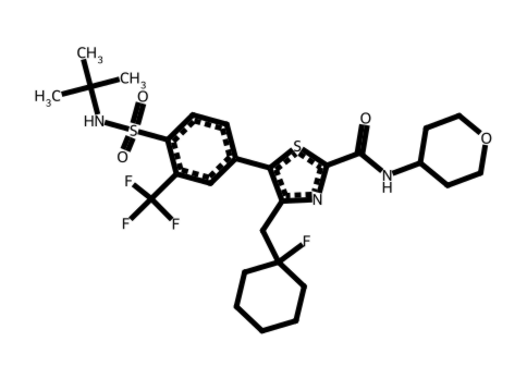 CC(C)(C)NS(=O)(=O)c1ccc(-c2sc(C(=O)NC3CCOCC3)nc2CC2(F)CCCCC2)cc1C(F)(F)F